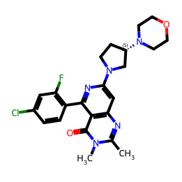 Cc1nc2cc(N3CC[C@H](N4CCOCC4)C3)nc(-c3ccc(Cl)cc3F)c2c(=O)n1C